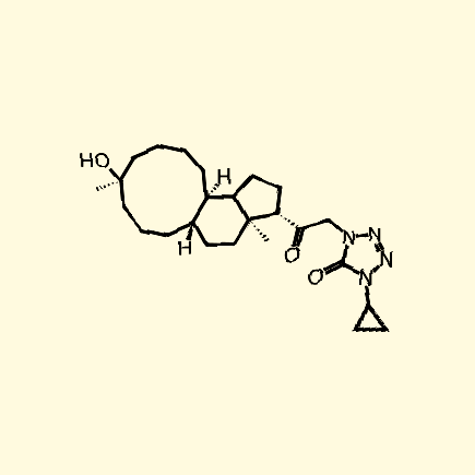 C[C@]1(O)CCCC[C@H]2C3CC[C@H](C(=O)Cn4nnn(C5CC5)c4=O)[C@@]3(C)CC[C@@H]2CCC1